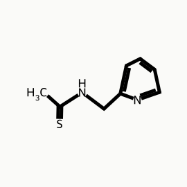 CC(=S)NCc1ccccn1